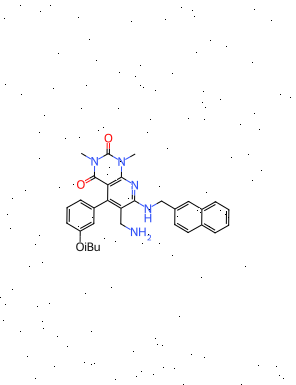 CC(C)COc1cccc(-c2c(CN)c(NCc3ccc4ccccc4c3)nc3c2c(=O)n(C)c(=O)n3C)c1